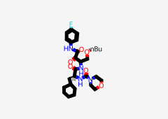 CCCCOCC(NC(=O)[C@H](CC1CCCCC1)NC(=O)N1CCOCC1)C(=O)C(=O)Nc1ccc(F)cc1